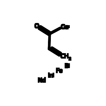 C=C[C](=O)[Ga].[B].[Fe].[In].[Nd]